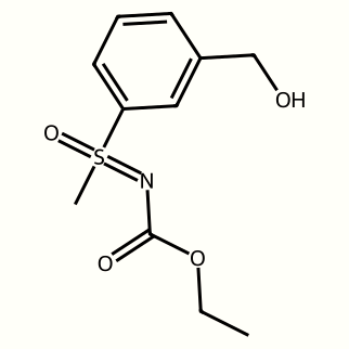 CCOC(=O)N=S(C)(=O)c1cccc(CO)c1